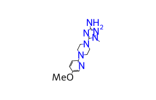 COc1ccc(N2CCN(c3nc(N)nn3C)CC2)nc1